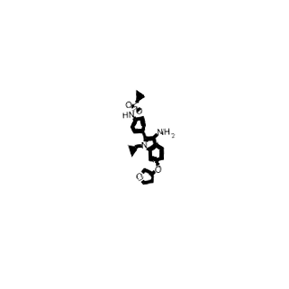 Nc1c(-c2ccc(NS(=O)(=O)C3CC3)cc2)n(C2CC2)c2cc(OC3CCOC3)ccc12